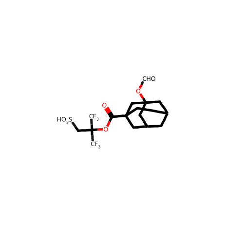 O=COC12CC3CC(C1)CC(C(=O)OC(CS(=O)(=O)O)(C(F)(F)F)C(F)(F)F)(C3)C2